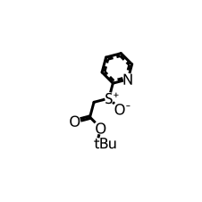 CC(C)(C)OC(=O)C[S+]([O-])c1ccccn1